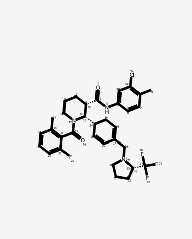 Cc1ccc(NC(=O)[C@H]2CCCN(C(=O)c3c(C)cccc3F)[C@H]2C2C=CC(CN3CCC[C@H]3C(F)(F)F)=CC2)cc1Cl